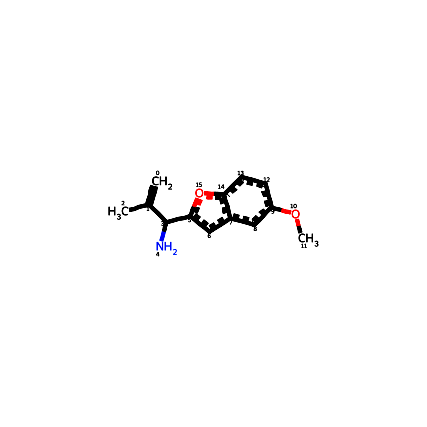 C=C(C)C(N)c1cc2cc(OC)ccc2o1